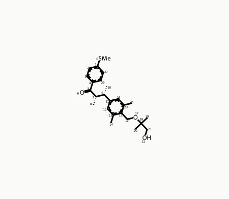 CSc1ccc(C(=O)[C@@H](C)[C@H](C)c2cc(C)c(COC(C)(C)CO)c(C)c2)cc1